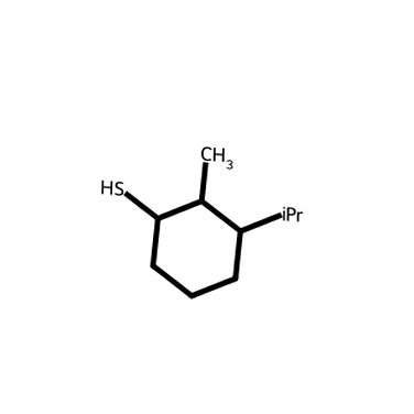 CC(C)C1CCCC(S)C1C